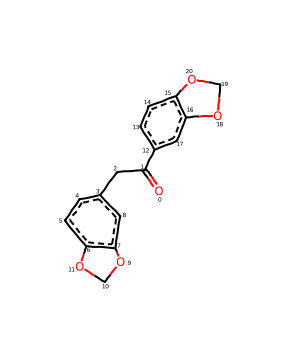 O=C(Cc1ccc2c(c1)OCO2)c1ccc2c(c1)OCO2